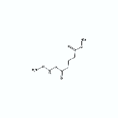 CCCCOC(=O)CCCC(=O)O[SiH2]O[SiH3]